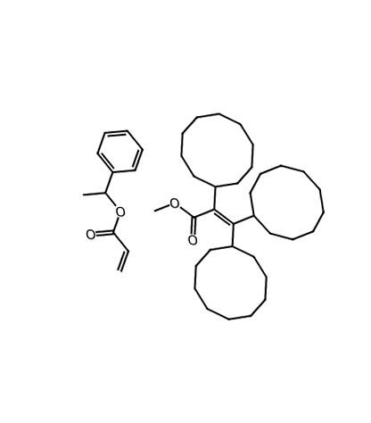 C=CC(=O)OC(C)c1ccccc1.COC(=O)C(=C(C1CCCCCCCCC1)C1CCCCCCCCC1)C1CCCCCCCCC1